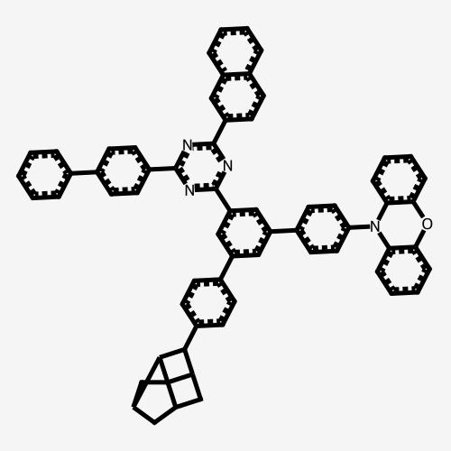 c1ccc(-c2ccc(-c3nc(-c4cc(-c5ccc(C6C7CC8CC9CC87C96)cc5)cc(-c5ccc(N6c7ccccc7Oc7ccccc76)cc5)c4)nc(-c4ccc5ccccc5c4)n3)cc2)cc1